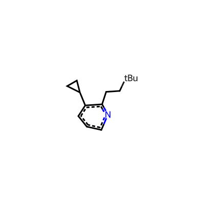 CC(C)(C)CCc1ncccc1C1CC1